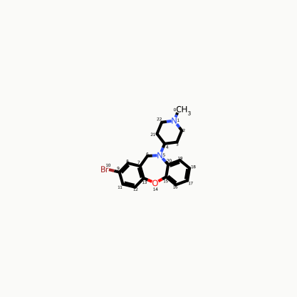 CN1CCC(N2Cc3cc(Br)ccc3Oc3ccccc32)CC1